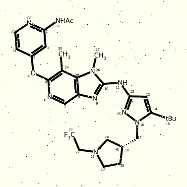 CC(=O)Nc1cc(Oc2ncc3nc(Nc4cc(C(C)(C)C)n(C[C@@H]5CCN(CC(F)(F)F)C5)n4)n(C)c3c2C)ccn1